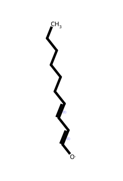 CCCCCC/C=C/C=C/[O]